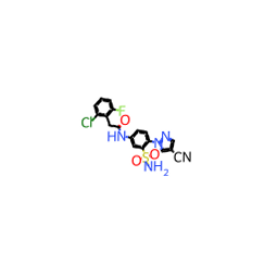 N#Cc1cnn(-c2ccc(NC(=O)Cc3c(F)cccc3Cl)cc2S(N)(=O)=O)c1